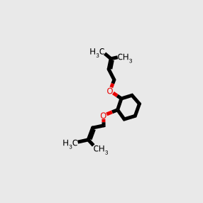 CC(C)=CCOC1CCCCC1OCC=C(C)C